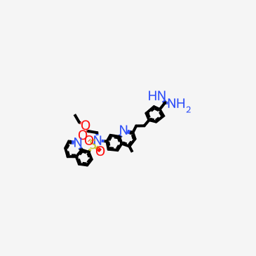 CCOC(=O)CN(c1ccc2c(C)cc(CCc3ccc(C(=N)N)cc3)nc2c1)S(=O)(=O)c1cccc2cccnc12